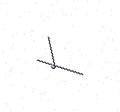 CCCCCCCCCCCCCCCCCCc1ccc[n+](CCCCCCCCCC)c1CCCCCCCCCCCCCCCCCC